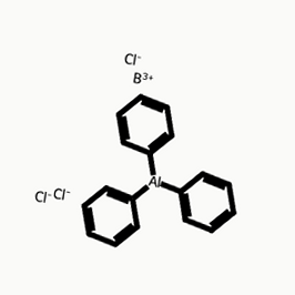 [B+3].[Cl-].[Cl-].[Cl-].c1cc[c]([Al]([c]2ccccc2)[c]2ccccc2)cc1